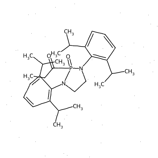 CCC(=O)P1(=O)N(c2c(C(C)C)cccc2C(C)C)CCN1c1c(C(C)C)cccc1C(C)C